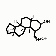 C[C@]12C(/C=N\O)C[C@H](O)C[C@H]1CC[C@@H]1[C@@H]2CC[C@]2(C)CCC[C@]12O